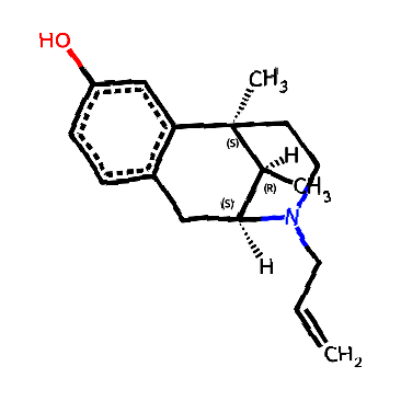 C=CCN1CC[C@]2(C)c3cc(O)ccc3C[C@H]1[C@@H]2C